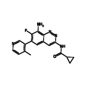 Cc1ccncc1-c1cc2cc(NC(=O)C3CC3)nnc2c(N)c1F